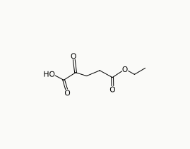 CCOC(=O)CCC(=O)C(=O)O